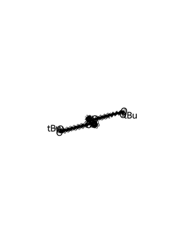 CC(C)(C)OC(=O)CCCCCCCCCCCCCCOc1c2ccccc2c(OCCCCCCCCCCCCCCC(=O)OC(C)(C)C)c2ccccc12